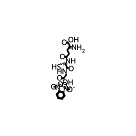 N[C@@H](CCC(=O)N[C@@H](CS)C(=O)NCC(=O)O)C(=O)O.O=[N+]([O-])c1ccccc1[N+](=O)[O-]